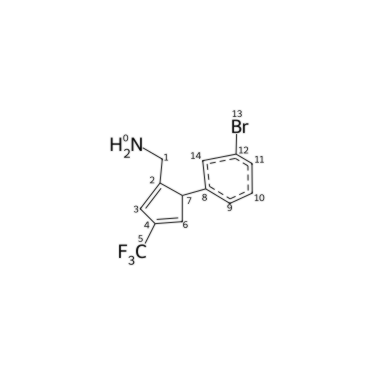 NCC1=CC(C(F)(F)F)=CC1c1cccc(Br)c1